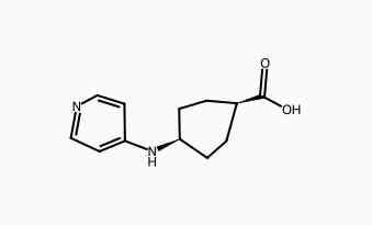 O=C(O)[C@H]1CC[C@@H](Nc2ccncc2)CC1